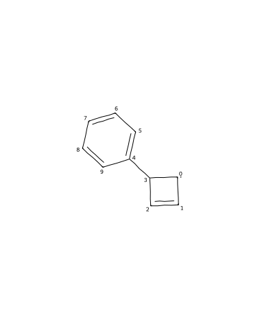 [CH]1C=CC1c1ccccc1